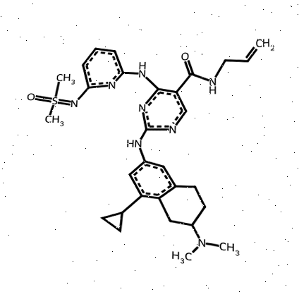 C=CCNC(=O)c1cnc(Nc2cc3c(c(C4CC4)c2)CC(N(C)C)CC3)nc1Nc1cccc(N=S(C)(C)=O)n1